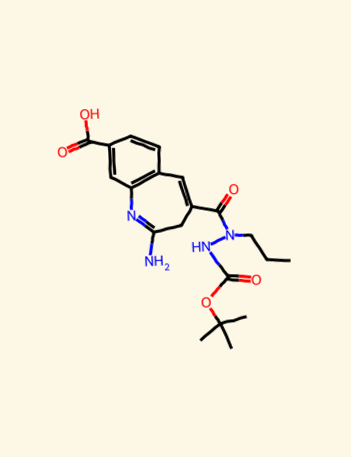 CCCN(NC(=O)OC(C)(C)C)C(=O)C1=Cc2ccc(C(=O)O)cc2N=C(N)C1